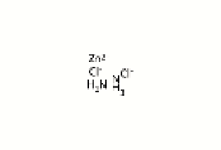 N.N.[Cl-].[Cl-].[Zn+2]